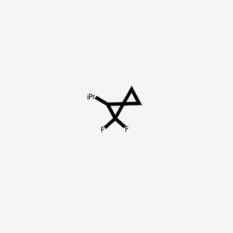 CC(C)C1C(F)(F)C12CC2